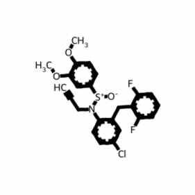 C#CCN(c1ccc(Cl)cc1Cc1c(F)cccc1F)[S+]([O-])c1ccc(OC)c(OC)c1